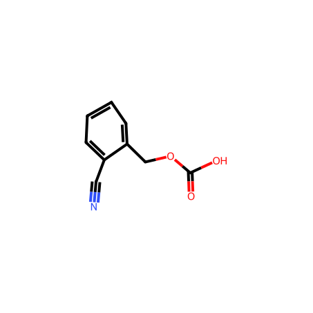 N#Cc1ccccc1COC(=O)O